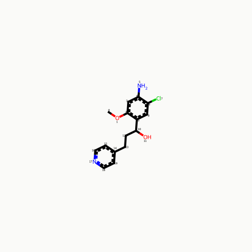 COc1cc(N)c(Cl)cc1C(O)CCc1ccncc1